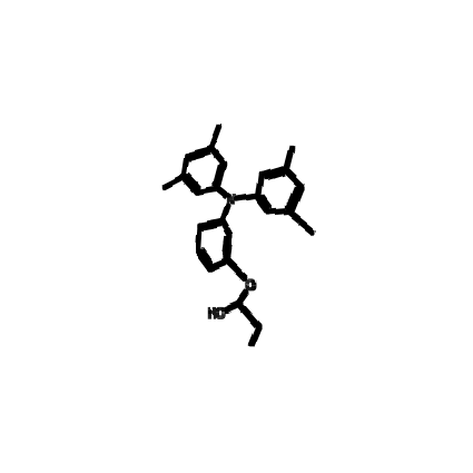 CCC(O)Oc1cccc(N(c2cc(C)cc(C)c2)c2cc(C)cc(C)c2)c1